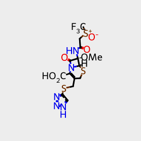 CO[C@@]1(NC(=O)C[S+]([O-])C(F)(F)F)C(=O)N2C(C(=O)O)=C(CSc3c[nH]nn3)CS[C@H]21